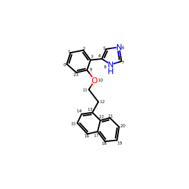 c1ccc(-c2cnc[nH]2)c(OCCc2cccc3ccccc23)c1